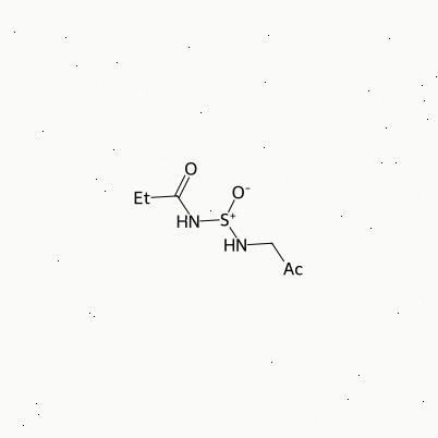 CCC(=O)N[S+]([O-])NCC(C)=O